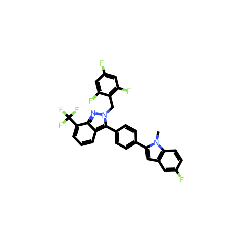 Cn1c(-c2ccc(-c3c4cccc(C(F)(F)F)c4nn3Cc3c(F)cc(F)cc3F)cc2)cc2cc(F)ccc21